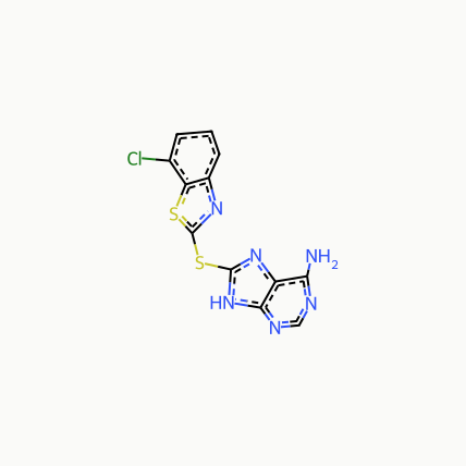 Nc1ncnc2[nH]c(Sc3nc4cccc(Cl)c4s3)nc12